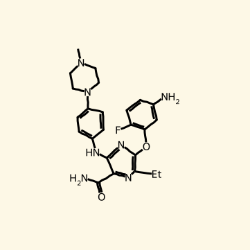 CCc1nc(C(N)=O)c(Nc2ccc(N3CCN(C)CC3)cc2)nc1Oc1cc(N)ccc1F